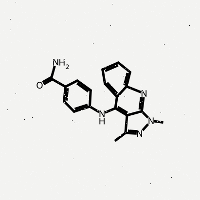 Cc1nn(C)c2nc3ccccc3c(Nc3ccc(C(N)=O)cc3)c12